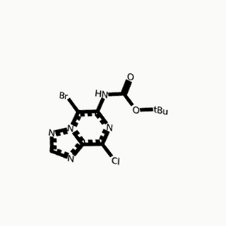 CC(C)(C)OC(=O)Nc1nc(Cl)c2ncnn2c1Br